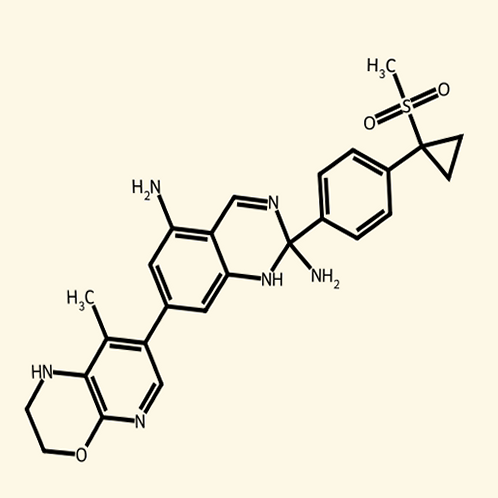 Cc1c(-c2cc(N)c3c(c2)NC(N)(c2ccc(C4(S(C)(=O)=O)CC4)cc2)N=C3)cnc2c1NCCO2